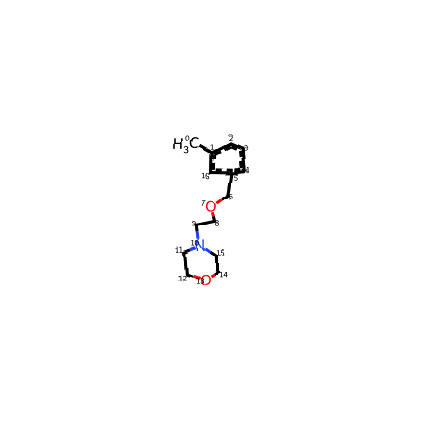 Cc1cccc(COCCN2CCOCC2)c1